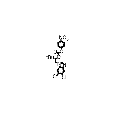 CC(C)(C)[C@@H](Cn1cnc2cc(Cl)c(Cl)cc21)OC(=O)Oc1ccc([N+](=O)[O-])cc1